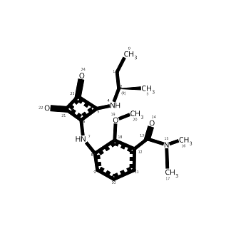 CC[C@@H](C)Nc1c(Nc2cccc(C(=O)N(C)C)c2OC)c(=O)c1=O